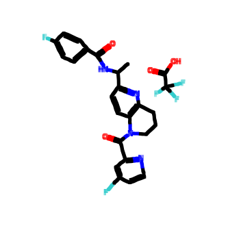 CC(NC(=O)c1ccc(F)cc1)c1ccc2c(n1)CCCN2C(=O)c1cc(F)ccn1.O=C(O)C(F)(F)F